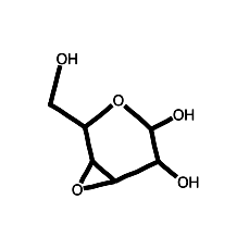 OCC1OC(O)C(O)C2OC12